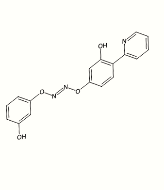 Oc1cccc(ON=NOc2ccc(-c3ccccn3)c(O)c2)c1